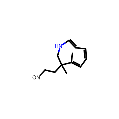 C\C1=C/C=C\C=C\NCC1(C)CCN=O